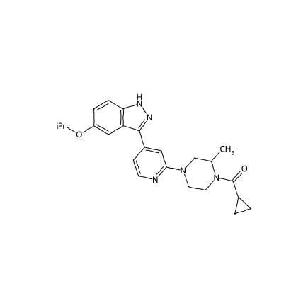 CC(C)Oc1ccc2[nH]nc(-c3ccnc(N4CCN(C(=O)C5CC5)C(C)C4)c3)c2c1